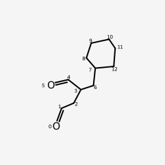 O=CCC(C=O)CC1CCCCC1